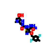 Cc1cc(F)c(COc2nsc(NC(=O)NCC3CC(O)CN3C)c2C(N)=O)cc1F